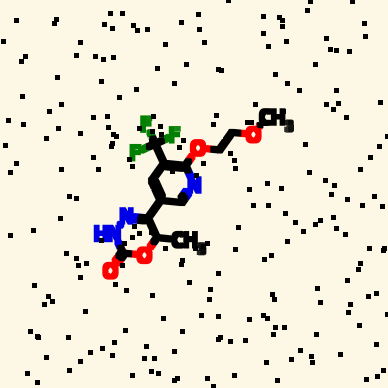 COCCOc1ncc(C2=NNC(=O)OC2C)cc1C(F)(F)F